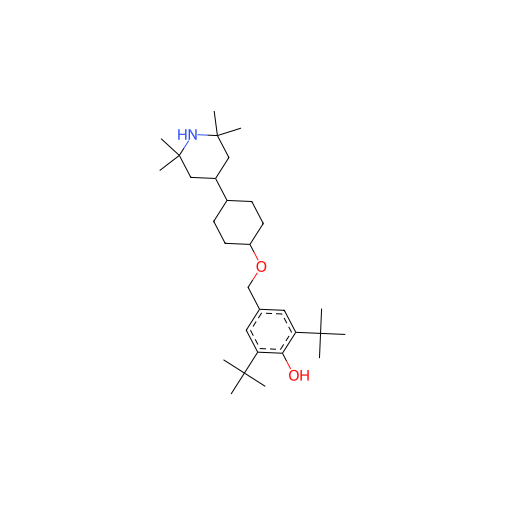 CC1(C)CC(C2CCC(OCc3cc(C(C)(C)C)c(O)c(C(C)(C)C)c3)CC2)CC(C)(C)N1